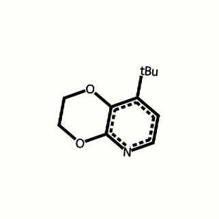 CC(C)(C)c1ccnc2c1OCCO2